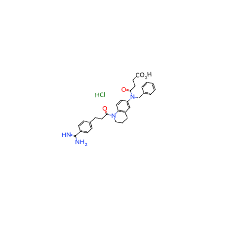 Cl.N=C(N)c1ccc(CCC(=O)N2CCCc3cc(N(Cc4ccccc4)C(=O)CCC(=O)O)ccc32)cc1